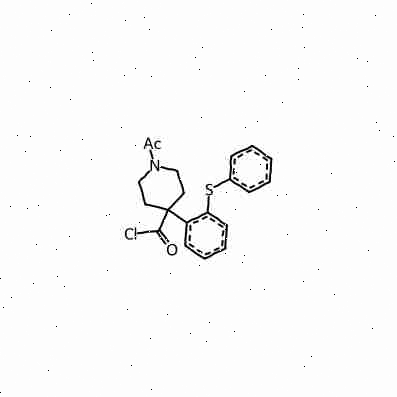 CC(=O)N1CCC(C(=O)Cl)(c2ccccc2Sc2ccccc2)CC1